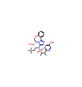 COc1cnc(C(C)C(C)S(=O)(=O)N(CC[Si](C)(C)C)c2nnc3n2[C@H](CO)COc2ccccc2-3)nc1